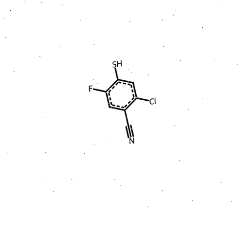 N#Cc1cc(F)c(S)cc1Cl